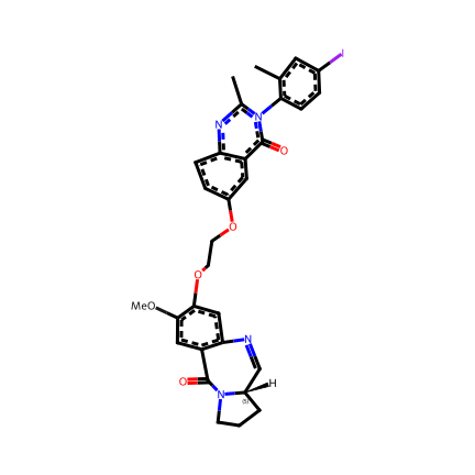 COc1cc2c(cc1OCCOc1ccc3nc(C)n(-c4ccc(I)cc4C)c(=O)c3c1)N=C[C@@H]1CCCN1C2=O